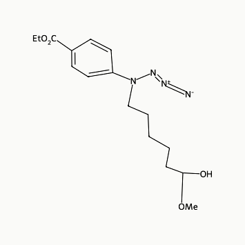 CCOC(=O)c1ccc(N(CCCCCC(O)OC)N=[N+]=[N-])cc1